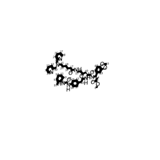 COC(=O)C[C@H](NC(=O)[C@H](CCCCNC(=O)CCCCCN(Cc1ccccn1)Cc1ccccn1)NC(=O)Cc1ccc(NC(=O)Nc2ccccc2C)cc1)c1ccc2c(c1)OCO2